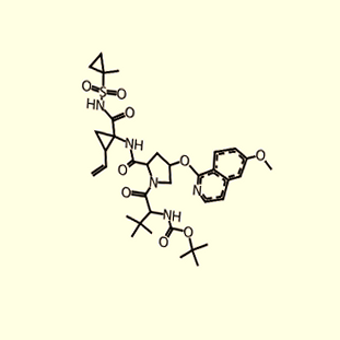 C=CC1CC1(NC(=O)C1CC(Oc2nccc3cc(OC)ccc23)CN1C(=O)C(NC(=O)OC(C)(C)C)C(C)(C)C)C(=O)NS(=O)(=O)C1(C)CC1